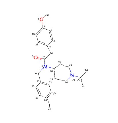 COc1ccc(CC(=O)N(Cc2ccc(C)cc2)C2CCN(C(C)C)CC2)cc1